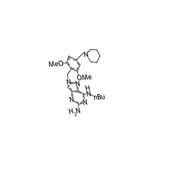 CCCCNc1nc(N)nc2cn(Cc3c(OC)cc(CN4CCCCC4)cc3OC)nc12